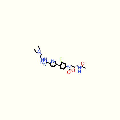 CCN(CC)CCn1nnc(-c2ccc(-c3ccc(N4C[C@H](CNC(C)=O)OC4=O)cc3F)cn2)n1